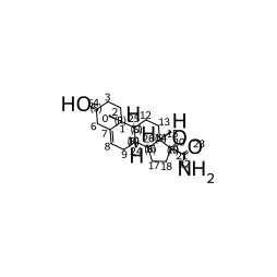 C[C@]12CC[C@H](O)CC1=CC[C@@H]1[C@@H]2CC[C@@]2(C)[C@H]1CC[C@]2(O)C(N)=O